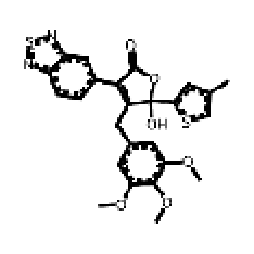 COc1cc(CC2=C(c3ccc4nsnc4c3)C(=O)OC2(O)c2cc(C)cs2)cc(OC)c1OC